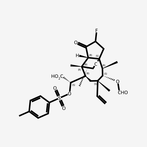 C=C[C@]1(C)C[C@@H]([C@H](OS(=O)(=O)c2ccc(C)cc2)C(=O)O)[C@@]2(C)[C@H](C)CC[C@]3(CC(F)C(=O)[C@H]32)[C@@H](C)[C@@H]1OC=O